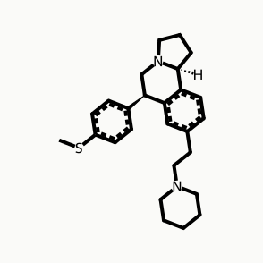 CSc1ccc([C@H]2CN3CCC[C@H]3c3ccc(CCN4CCCCC4)cc32)cc1